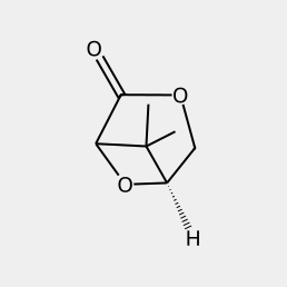 CC1(C)C2O[C@@H]1COC2=O